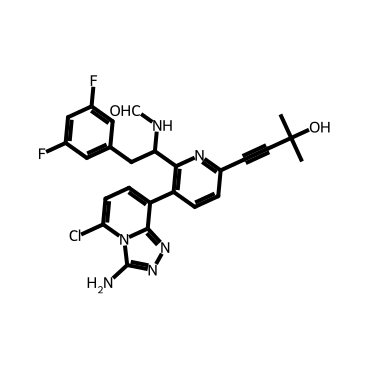 CC(C)(O)C#Cc1ccc(-c2ccc(Cl)n3c(N)nnc23)c(C(Cc2cc(F)cc(F)c2)NC=O)n1